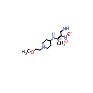 COCCN1CCC(N/C(C)=C(\C=N)[N+](=O)[O-])CC1